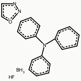 B.F.c1ccc(N(c2ccccc2)c2ccccc2)cc1.c1conn1